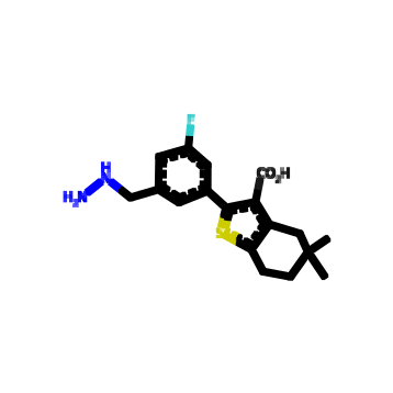 CC1(C)CCc2sc(-c3cc(F)cc(CNN)c3)c(C(=O)O)c2C1